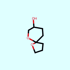 OC1CCC2(CCCO2)OC1